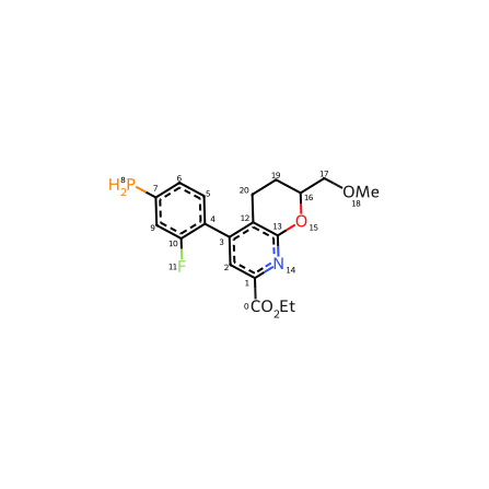 CCOC(=O)c1cc(-c2ccc(P)cc2F)c2c(n1)OC(COC)CC2